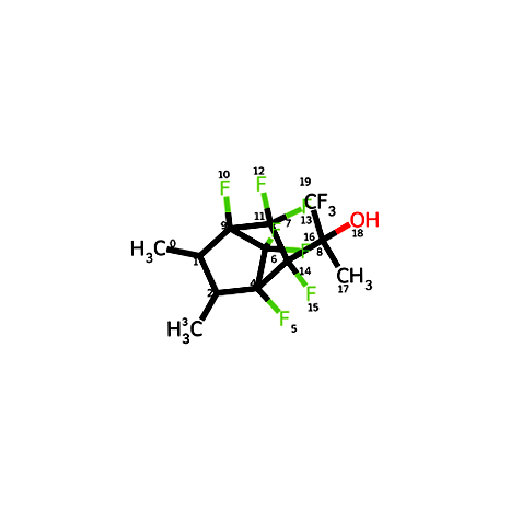 CC1C(C)C2(F)C(F)(F)C1(F)C(F)(F)C2(F)C(C)(O)C(F)(F)F